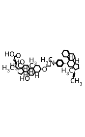 CC#C[C@@H]1CC[C@H]2[C@@H]3CCC4=CCCCC4=C3[C@@H](c3ccc(N(C)CCO[C@H]4CC[C@@]5(C)[C@@H](C4)C[C@@H](O)[C@@H]4[C@@H]5C[C@H](O)[C@]5(C)[C@@H]([C@H](C)CCC(=O)O)CC[C@@H]45)cc3)C[C@]12C